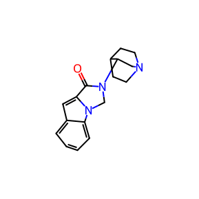 O=C1c2cc3ccccc3n2CN1C1CN2CCC1CC2